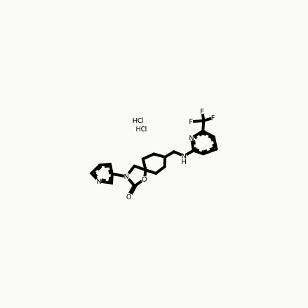 Cl.Cl.O=C1OC2(CCC(CNc3cccc(C(F)(F)F)n3)CC2)CN1c1cccnc1